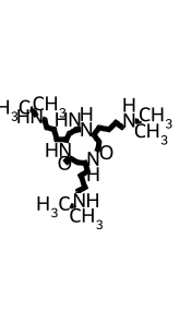 CC(C)NCCCCC1CC(=O)NC(CCCCNC(C)C)CC(=O)NC(CCCCNC(C)C)CC(=N)N1